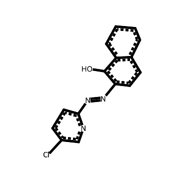 Oc1c(N=Nc2ccc(Cl)cn2)ccc2ccccc12